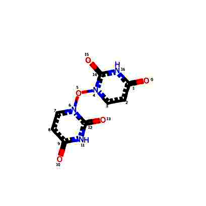 O=c1ccn(On2ccc(=O)[nH]c2=O)c(=O)[nH]1